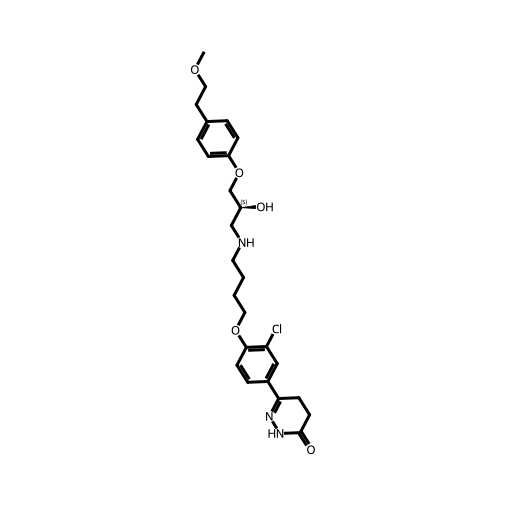 COCCc1ccc(OC[C@@H](O)CNCCCCOc2ccc(C3=NNC(=O)CC3)cc2Cl)cc1